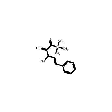 C=C(C(=O)[Si](C)(C)C)C(O)C=Cc1ccccc1